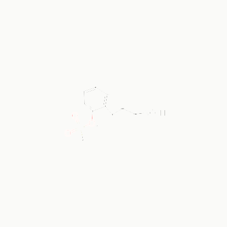 CS(=O)(=O)Oc1ccccc1CCCS(=O)(=O)O